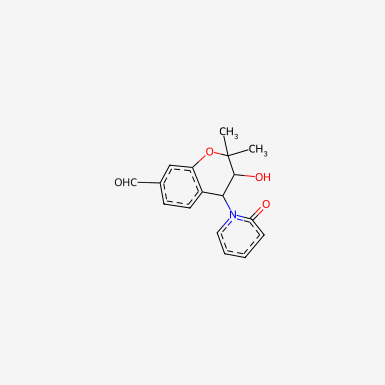 CC1(C)Oc2cc(C=O)ccc2C(n2ccccc2=O)C1O